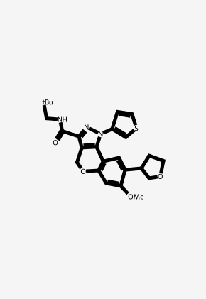 COc1cc2c(cc1C1CCOC1)-c1c(c(C(=O)NCC(C)(C)C)nn1-c1ccsc1)CO2